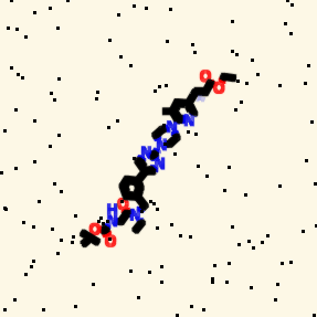 CCOC(=O)/C=C/c1cnc(N2CCN(c3ncc(-c4cccc(CN(CC)C(=O)CNC(=O)OC(C)(C)C)c4)cn3)CC2)c(C)c1